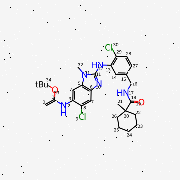 C=C(Nc1cc2c(cc1Cl)nc(Nc1cc(CNC(=O)C3(C)CCCCC3)ccc1Cl)n2C)OC(C)(C)C